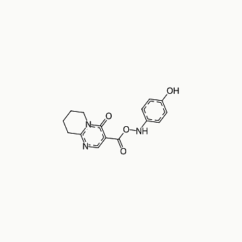 O=C(ONc1ccc(O)cc1)c1cnc2n(c1=O)CCCC2